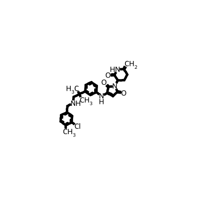 C=C1CCC(N2C(=O)C=C(Nc3cccc(C(C)(C)CNCc4ccc(C)c(Cl)c4)c3)C2=O)C(=O)N1